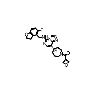 O=C(C1COC1)N1CCC[C@@H](c2cnc(NCc3c(F)ccc4c3CCO4)n3cnnc23)CC1